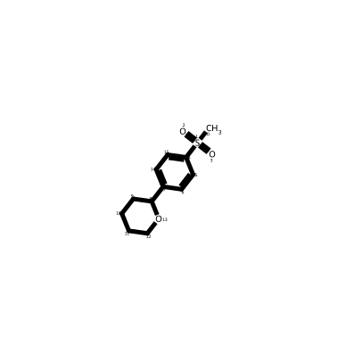 CS(=O)(=O)c1ccc(C2CCCCO2)cc1